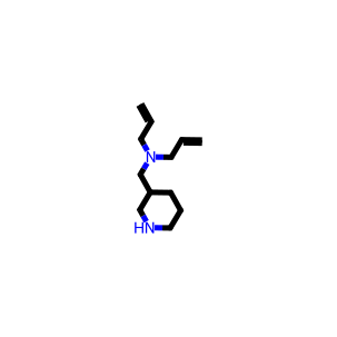 C=CCN(CC=C)CC1CCCNC1